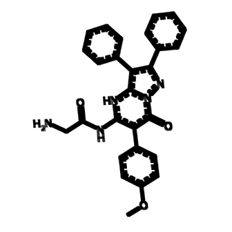 COc1ccc(-c2c(NC(=O)CN)[nH]c3c(-c4ccccc4)c(-c4ccccc4)nn3c2=O)cc1